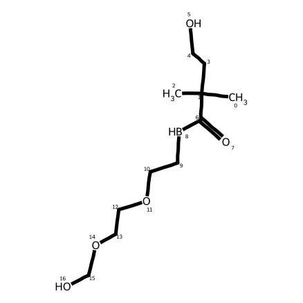 CC(C)(CCO)C(=O)BCCOCCOCO